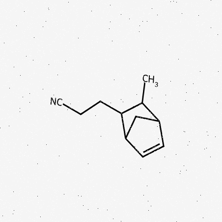 CC1C2C=CC(C2)C1CCC#N